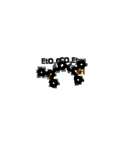 CCOC(=O)C1(C(=O)OCC)CC(/C=C/C2=CC(c3ccccc3)=[SH]C(c3ccccc3)=C2)=CC(=C/C=C2C=C(c3ccccc3)SC(c3ccccc3)=C2)/C1